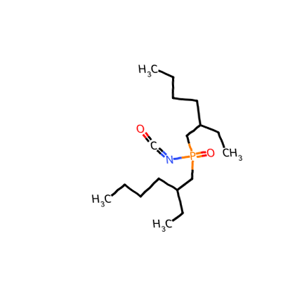 CCCCC(CC)CP(=O)(CC(CC)CCCC)N=C=O